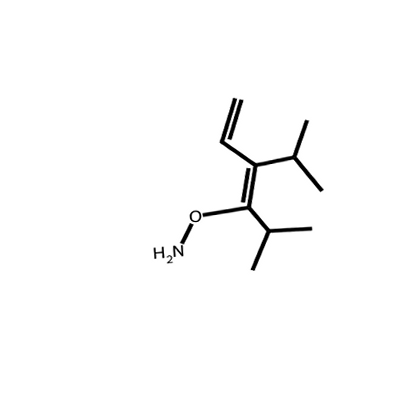 C=C/C(=C(\ON)C(C)C)C(C)C